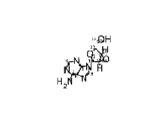 Nc1ncnc2c1ncn2[C@@H]1O[C@H](CO)[C@@H]2O[C@H]21